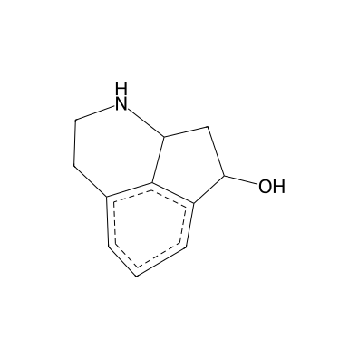 OC1CC2NCCc3cccc1c32